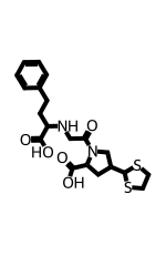 O=C(O)C(CCc1ccccc1)NCC(=O)N1CC(C2SCCS2)CC1C(=O)O